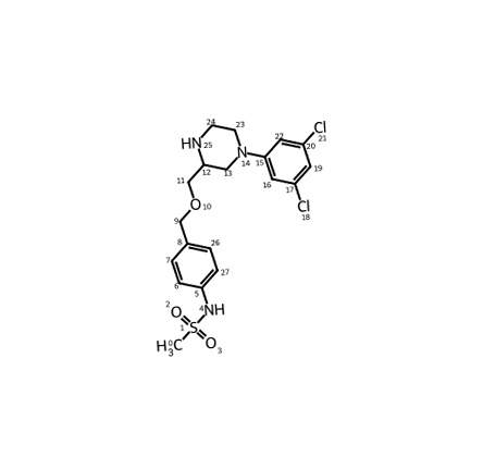 CS(=O)(=O)Nc1ccc(COCC2CN(c3cc(Cl)cc(Cl)c3)CCN2)cc1